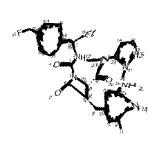 CC[C@@H](NC(=O)N1C(=O)[C@H](Cc2cc(C)nc(N)c2)[C@H]1C(=O)N(C)c1ccnn1C)c1ccc(F)cc1